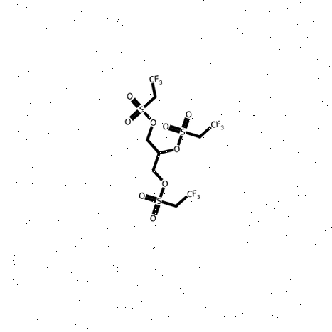 O=S(=O)(CC(F)(F)F)OCC(COS(=O)(=O)CC(F)(F)F)OS(=O)(=O)CC(F)(F)F